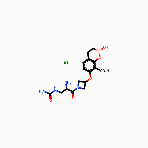 Cl.NC(=O)NCC(N)C(=O)N1CC(Oc2ccc3c(c2C(=O)O)OB(O)CC3)C1